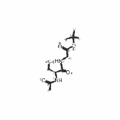 CC(=O)N[C@@H](CS)C(=O)NCC(=O)OC(C)(C)C